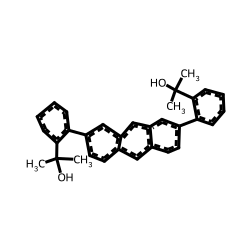 CC(C)(O)c1ccccc1-c1ccc2cc3ccc(-c4ccccc4C(C)(C)O)cc3cc2c1